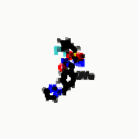 COc1cc(Cn2cccn2)cc2onc(NS(=O)(=O)CC3CCC3(F)F)c12